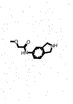 COCC(=O)Nc1ccc2c(c1)CNC2